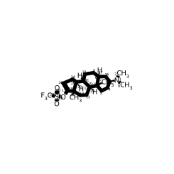 CN(C)[C@H]1CC[C@@]2(C)[C@@H](CC[C@@H]3[C@@H]2CC[C@]2(C)C(OS(=O)(=O)C(F)(F)F)=CC[C@@H]32)C1